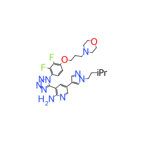 CC(C)CCn1cc(-c2cnc(N)c(-c3nnnn3-c3ccc(OCCCN4CCOCC4)c(F)c3F)c2)cn1